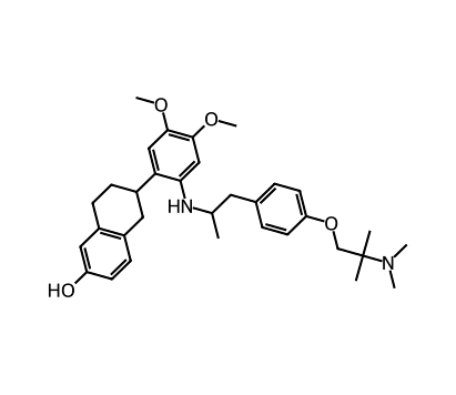 COc1cc(NC(C)Cc2ccc(OCC(C)(C)N(C)C)cc2)c(C2CCc3cc(O)ccc3C2)cc1OC